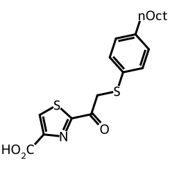 CCCCCCCCc1ccc(SCC(=O)c2nc(C(=O)O)cs2)cc1